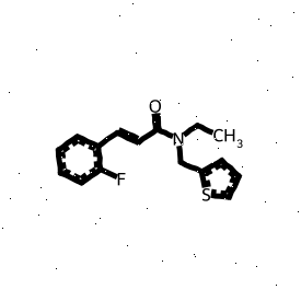 CCN(Cc1cccs1)C(=O)C=Cc1ccccc1F